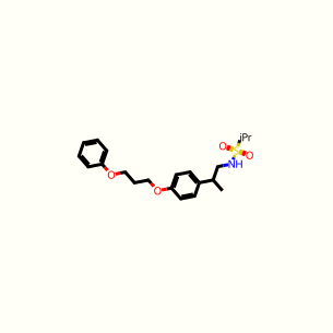 CC(CNS(=O)(=O)C(C)C)c1ccc(OCCCOc2ccccc2)cc1